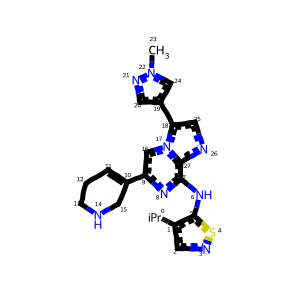 CC(C)c1cnsc1Nc1nc(C2=CCCNC2)cn2c(-c3cnn(C)c3)cnc12